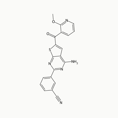 COc1ncccc1C(=O)c1cc2c(N)nc(-c3cccc(C#N)c3)nc2s1